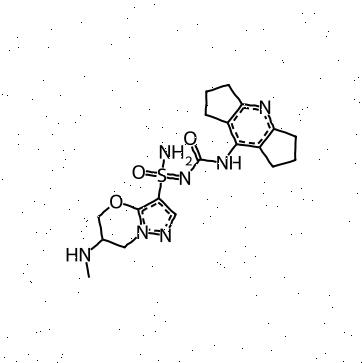 CNC1COc2c(S(N)(=O)=NC(=O)Nc3c4c(nc5c3CCC5)CCC4)cnn2C1